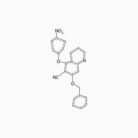 N#Cc1c(OCc2ccccc2)cc2ncccc2c1Oc1ccc([N+](=O)[O-])cc1